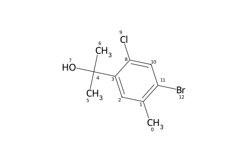 Cc1cc(C(C)(C)O)c(Cl)cc1Br